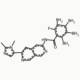 Bc1c(B)c(B)c(C(=O)Nc2cc3cc(-c4cnc(C)n4C)ncc3cn2)c(F)c1B